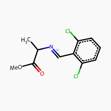 COC(=O)C(C)/N=C/c1c(Cl)cccc1Cl